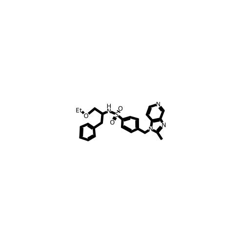 CCOCC(Cc1ccccc1)NS(=O)(=O)c1ccc(Cn2c(C)nc3cnccc32)cc1